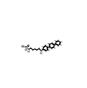 CC(C)(C)S(=O)(=O)NCCCCCNc1ccc(-c2ccc(-c3ccccc3)cc2)cc1